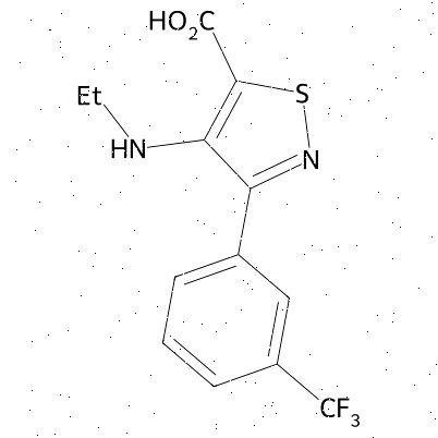 CCNc1c(-c2cccc(C(F)(F)F)c2)nsc1C(=O)O